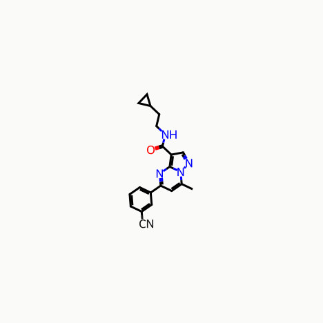 Cc1cc(-c2cccc(C#N)c2)nc2c(C(=O)NCCC3CC3)cnn12